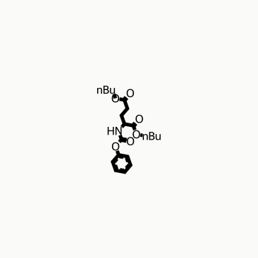 CCCCOC(=O)CCC(NC(=O)Oc1ccccc1)C(=O)OCCCC